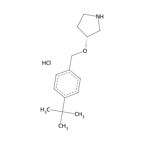 CC(C)(C)c1ccc(CO[C@@H]2CCNC2)cc1.Cl